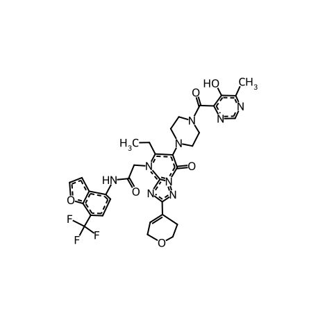 CCc1c(N2CCN(C(=O)c3ncnc(C)c3O)CC2)c(=O)n2nc(C3=CCOCC3)nc2n1CC(=O)Nc1ccc(C(F)(F)F)c2occc12